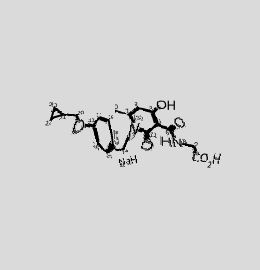 C[C@H]1CC(O)=C(C(=O)NCC(=O)O)C(=O)N1Cc1ccc(OCC2CC2)cc1.[NaH]